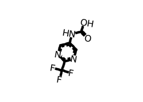 O=C(O)Nc1cnc(C(F)(F)F)nc1